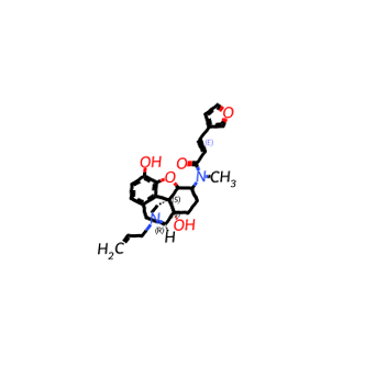 C=CCN1CC[C@]23c4c5ccc(O)c4OC2C(N(C)C(=O)/C=C/c2ccoc2)CC[C@@]3(O)[C@H]1C5